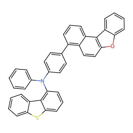 c1ccc(N(c2ccc(-c3cccc4c3ccc3oc5ccccc5c34)cc2)c2cccc3sc4ccccc4c23)cc1